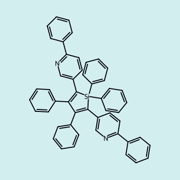 c1ccc(C2=C(c3ccc(-c4ccccc4)nc3)[Si](c3ccccc3)(c3ccccc3)C(c3ccc(-c4ccccc4)nc3)=C2c2ccccc2)cc1